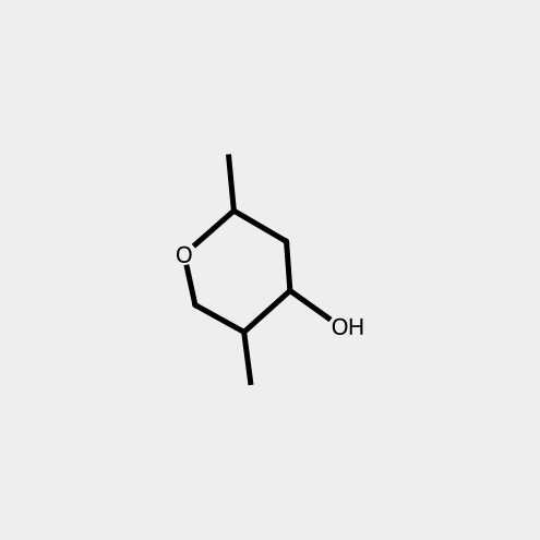 CC1CC(O)C(C)CO1